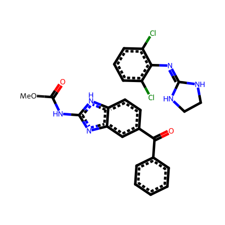 COC(=O)Nc1nc2cc(C(=O)c3ccccc3)ccc2[nH]1.Clc1cccc(Cl)c1N=C1NCCN1